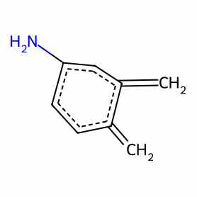 C=c1ccc(N)cc1=C